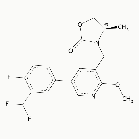 COc1ncc(-c2ccc(F)c(C(F)F)c2)cc1CN1C(=O)OC[C@H]1C